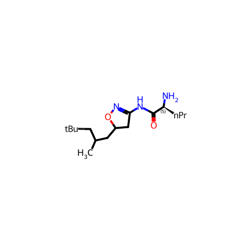 CCC[C@H](N)C(=O)NC1=NOC(CC(C)CC(C)(C)C)C1